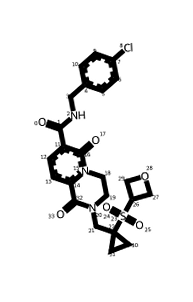 O=C(NCc1ccc(Cl)cc1)c1ccc2n(c1=O)CCN(CC1(S(=O)(=O)C3COC3)CC1)C2=O